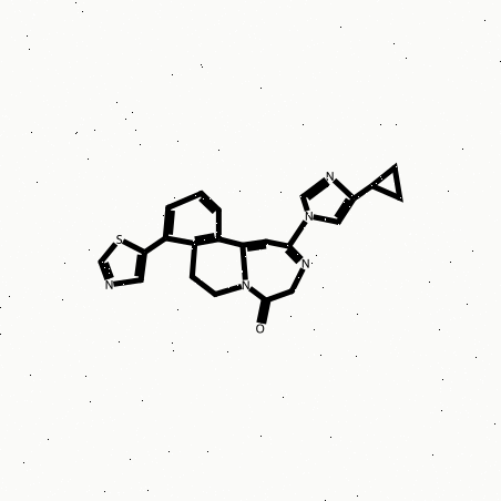 O=C1CN=C(n2cnc(C3CC3)c2)C=C2c3cccc(-c4cncs4)c3CCN12